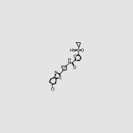 N=S(=O)(c1ccc(C(=O)NC23CC(c4nc5ccc(Cl)cc5s4)(C2)C3)o1)C1CC1